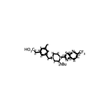 CCCC[C@H]1CN(Cc2cc(C)cc(CC(=O)O)c2)CCN1c1nc2ccc(C(F)(F)F)nc2s1